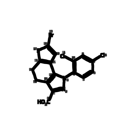 O=C(O)c1nn(-c2ccc(Cl)cc2Cl)c2c1CCc1sc(Br)cc1-2